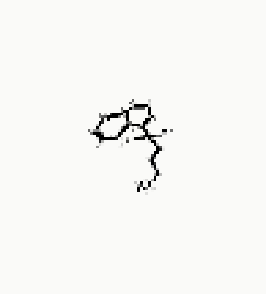 CCCCC(F)(F)c1cccc2ccccc12